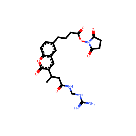 CC(CC(=O)NCNC(=N)N)c1cc2cc(CCCC(=O)ON3C(=O)CCC3=O)ccc2oc1=O